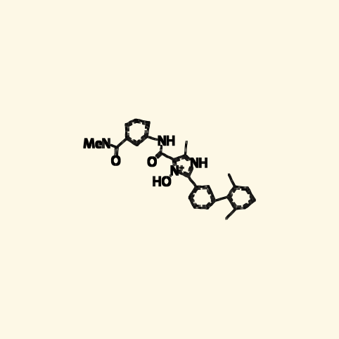 CNC(=O)c1cccc(NC(=O)c2c(C)[nH]c(-c3cccc(-c4c(C)cccc4C)c3)[n+]2O)c1